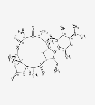 C=CC1O[C@]2(C)C[C@]1(F)C(=O)[C@H](C)[C@H]1OC(=O)O[C@]1(C)[C@@H](CC)OC(=O)[C@H](C)C(=O)[C@H](C)[C@H]2O[C@@H]1O[C@H](C)C[C@H](N(C)C)[C@H]1O